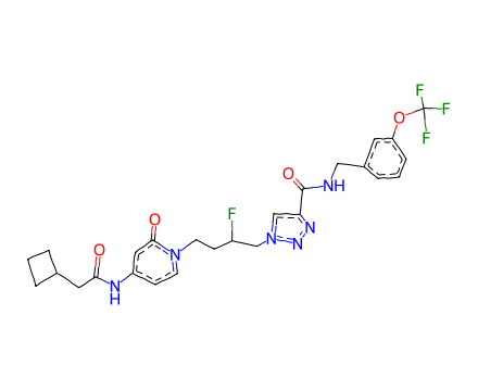 O=C(CC1CCC1)Nc1ccn(CCC(F)Cn2cc(C(=O)NCc3cccc(OC(F)(F)F)c3)nn2)c(=O)c1